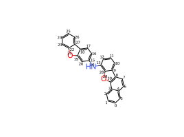 c1ccc2c(c1)ccc1c3cccc(Nc4ccc5c(c4)oc4ccccc45)c3oc21